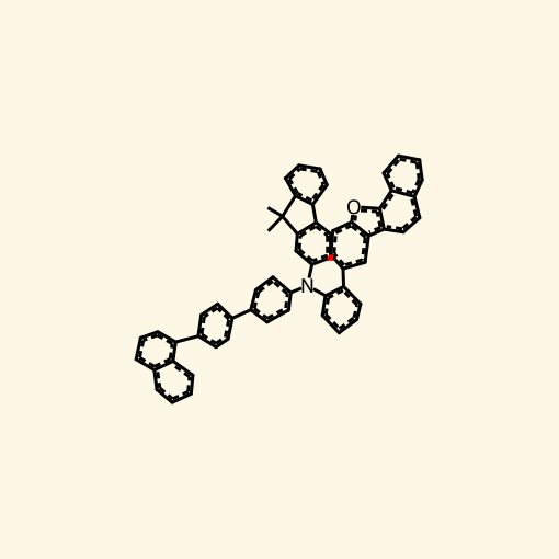 CC1(C)c2ccccc2-c2ccc(N(c3ccc(-c4ccc(-c5cccc6ccccc56)cc4)cc3)c3ccccc3-c3ccc4oc5c6ccccc6ccc5c4c3)cc21